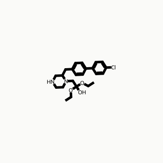 CCOC(O)(CN1CCNCC1Cc1ccc(-c2ccc(Cl)cc2)cc1)OCC